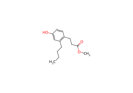 CCCCc1cc(O)[c]cc1CCC(=O)OC